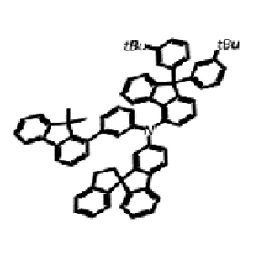 CC(C)(C)c1cccc(C2(c3cccc(C(C)(C)C)c3)c3ccccc3-c3c(N(c4cccc(-c5cccc6c5C(C)(C)c5ccccc5-6)c4)c4ccc5c(c4)C4(CCc6ccccc64)c4ccccc4-5)cccc32)c1